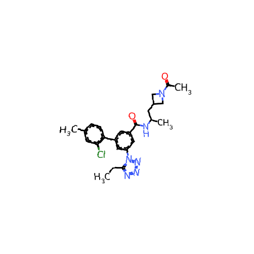 CCc1nnnn1-c1cc(C(=O)NC(C)CC2CN(C(C)=O)C2)cc(-c2ccc(C)cc2Cl)c1